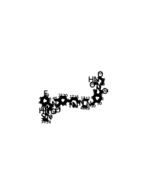 O=C1CCN(N2Cc3cc(CN4CCN(c5ccc(-c6ccc7c(c6)C(=O)N(C(C(=O)Nc6nccs6)c6cc(F)ccc6O)C7)nn5)CC4)ccc3C2=O)C(=O)N1